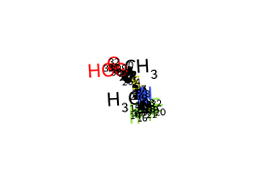 Cc1cc(SCc2cnn(-c3cc(C(F)(F)F)cc(C(F)(F)F)c3)c2C)ccc1OCC(=O)O